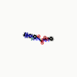 O=C(CCNC(=O)c1ccc(N2CCN(c3ncccn3)CC2)c(F)c1)ONC(=O)OCc1ccccc1